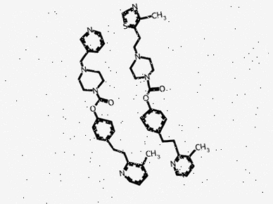 Cc1cccnc1CCc1ccc(OC(=O)N2CCN(CCc3scnc3C)CC2)cc1.Cc1cccnc1CCc1ccc(OC(=O)N2CCN(Cc3cccnc3)CC2)cc1